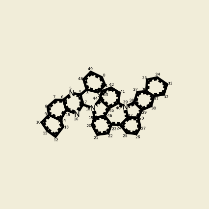 c1ccc(-c2nc3ccc4ccccc4c3nc2-n2c3cccc4c5cccc6c7cc8ccccc8cc7n(c7cccc2c7c43)c56)cc1